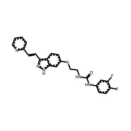 O=C(NCCSc1ccc2c(C=Cc3ccccn3)n[nH]c2c1)Nc1ccc(F)c(F)c1